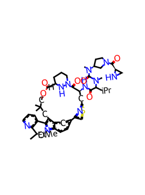 CCn1c(-c2cccnc2[C@H](C)OC)c2c3cc(ccc31)-c1csc(n1)C[C@H](NC(=O)C(C(C)C)N(C)C(=O)N(C)[C@H]1CCN(C(=O)[C@H]3CN3)C1)C(=O)N1CCC[C@H](N1)C(=O)OCC(C)(C)C2